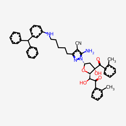 Cc1ccccc1C(=O)C(O)[C@H]1O[C@H](n2nc(CCCCCNc3cccc(C(c4ccccc4)c4ccccc4)c3)c(C#N)c2N)C[C@@]1(O)C(=O)c1ccccc1C